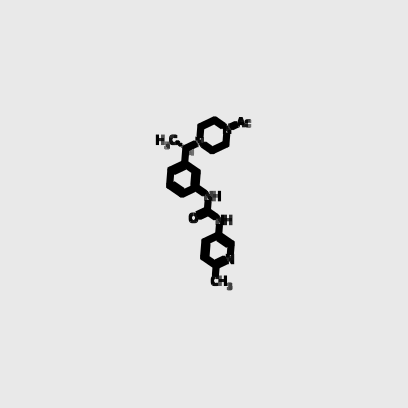 CC(=O)N1CCN([C@@H](C)c2cccc(NC(=O)Nc3ccc(C)nc3)c2)CC1